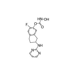 O=C(NO)Oc1cc2c(cc1F)CCC(Nc1ncccn1)C2